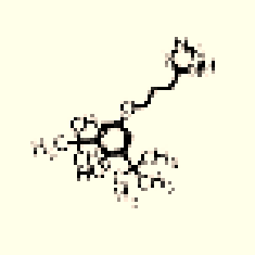 CC(C)(C)c1cc(OCCCc2nnn[nH]2)cc(C(C)(C)C)c1O